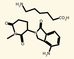 CN1C(=O)CCC(N2Cc3c(N)cccc3C2=O)C1=O.NCCCCCC(=O)O